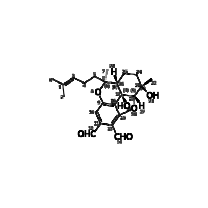 CC(C)=CCC[C@]1(C)Oc2cc(C=O)c(C=O)c3c2[C@@]2(O)[C@@H](O3)[C@@](C)(O)CC[C@H]21